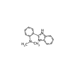 CN(C)c1ccccc1-c1nc2ccccc2[nH]1